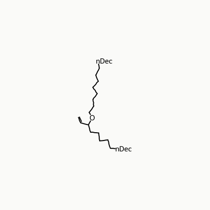 C=CC(CCCCCCCCCCCCCCC)OCCCCCCCCCCCCCCCCCC